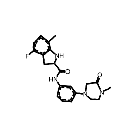 Cc1ccc(F)c2c1NC(C(=O)Nc1cccc(N3CCN(C)C(=O)C3)c1)C2